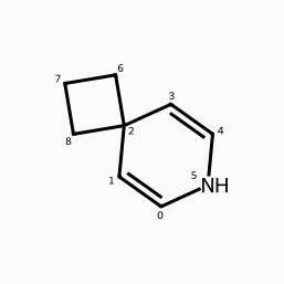 C1=CC2(C=CN1)CCC2